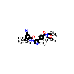 Cc1ncc(NC(=O)c2cc(C#N)cc(C(C)(C)C)c2)cc1-c1ccc(C(=O)N2CC(C)(C)OC(C)(C)C2)cc1